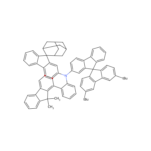 CC(C)(C)c1ccc2c(c1)-c1cc(C(C)(C)C)ccc1C21c2ccccc2-c2ccc(N(c3ccc4c(c3)C3(c5ccccc5-4)C4CC5CC(C4)CC3C5)c3ccccc3-c3cccc4c3C(C)(C)c3ccccc3-4)cc21